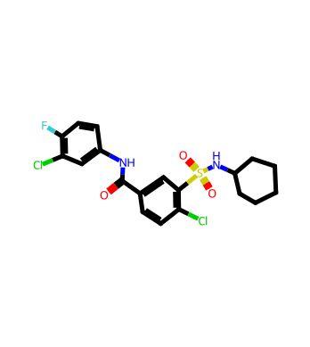 O=C(Nc1ccc(F)c(Cl)c1)c1ccc(Cl)c(S(=O)(=O)NC2CCCCC2)c1